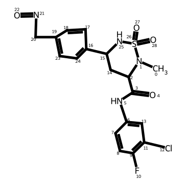 CN1C(C(=O)Nc2ccc(F)c(Cl)c2)CC(c2ccc(CN=O)cc2)NS1(=O)=O